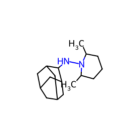 CC1CCCC(C)N1NC1C2CC3CC(C2)CC1C3